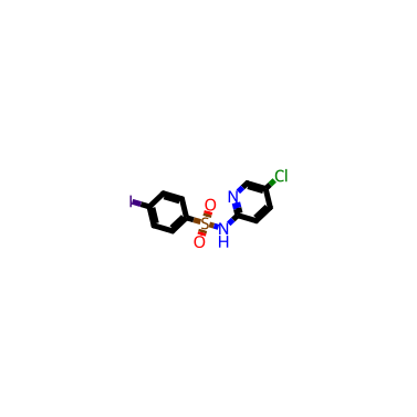 O=S(=O)(Nc1ccc(Cl)cn1)c1ccc(I)cc1